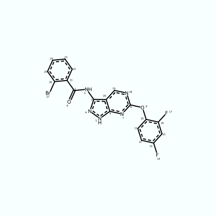 O=C(Nc1n[nH]c2nc(Oc3ccc(F)cc3F)ncc12)c1ccccc1Br